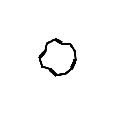 [CH]1/C=C/C/C=C\CC/C=C/C/C=C/1